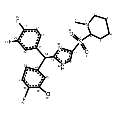 CN1CCCCC1S(=O)(=O)c1c[nH]c(C(c2ccc(F)c(F)c2)c2ccc(F)c(Cl)c2)n1